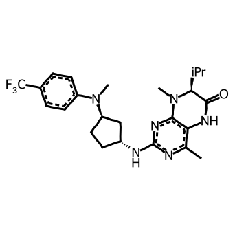 Cc1nc(N[C@@H]2CC[C@@H](N(C)c3ccc(C(F)(F)F)cc3)C2)nc2c1NC(=O)[C@H](C(C)C)N2C